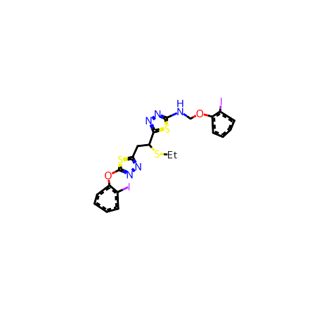 CCSC(Cc1nnc(Oc2ccccc2I)s1)c1nnc(NCOc2ccccc2I)s1